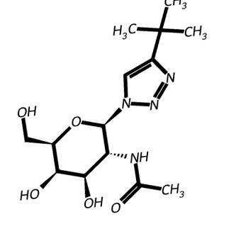 CC(=O)N[C@@H]1[C@@H](O)[C@@H](O)[C@@H](CO)O[C@H]1n1cc(C(C)(C)C)nn1